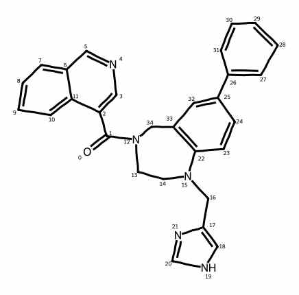 O=C(c1cncc2ccccc12)N1CCN(Cc2c[nH]cn2)c2ccc(-c3ccccc3)cc2C1